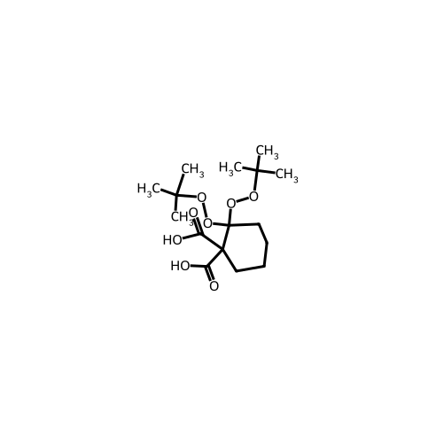 CC(C)(C)OOC1(OOC(C)(C)C)CCCCC1(C(=O)O)C(=O)O